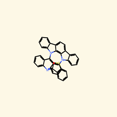 c1ccc(-n2c3ccccc3c3ccc4c5ccccc5n(-c5c6ccccc6nc6c5sc5ccccc56)c4c32)cc1